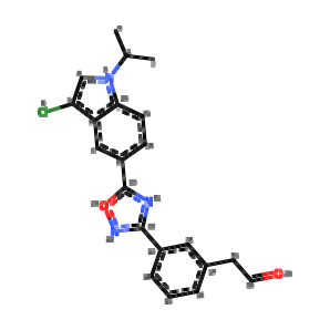 CC(C)n1cc(Cl)c2cc(-c3nc(-c4cccc(CC=O)c4)no3)ccc21